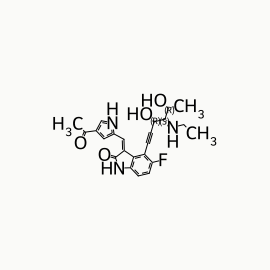 CCN[C@H]([C@H](O)C#Cc1c(F)ccc2c1C(=Cc1cc(C(C)=O)c[nH]1)C(=O)N2)[C@@H](C)O